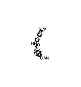 COc1cc(C)c(S(=O)(=O)N(C)CCC(=O)NC2CCN(C3CCN(C(=O)CN(C)C)CC3)CC2)c(C)c1